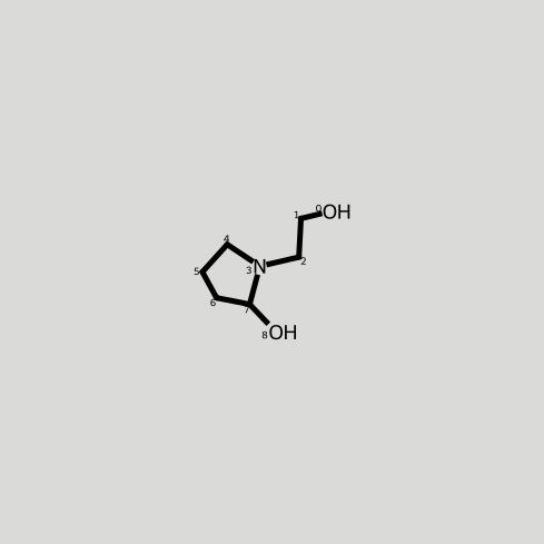 OCCN1CCCC1O